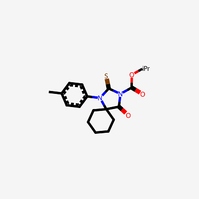 Cc1ccc(N2C(=S)N(C(=O)OC(C)C)C(=O)C23CCCCC3)cc1